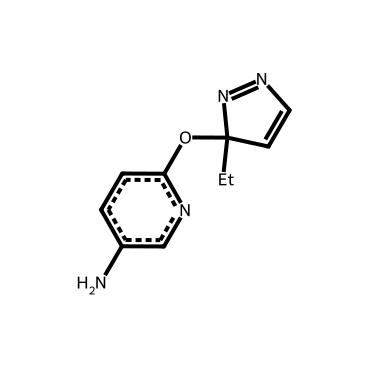 CCC1(Oc2ccc(N)cn2)C=CN=N1